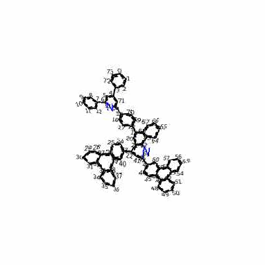 c1ccc(-c2cc(-c3ccccc3)nc(-c3ccc(-c4cc5c(-c6ccc7c8ccccc8c8ccccc8c7c6)cc(-c6ccc7c8ccccc8c8ccccc8c7c6)nc5c5ccccc45)cc3)c2)cc1